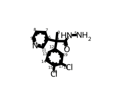 CC(C(=O)NN)(c1cccnc1)c1ccc(Cl)c(Cl)c1